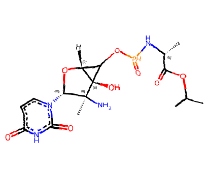 CC(C)OC(=O)[C@@H](C)N[PH](=O)OC1[C@H]2O[C@@H](n3ccc(=O)[nH]c3=O)[C@](C)(N)[C@@]12O